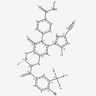 CNC(=O)c1ccc(-n2c(-n3nc(C#N)cc3C)nc3c(c2=O)C[C@@H](C)N(C(=O)c2ccc(Br)c(C(F)(F)F)c2)C3)cc1